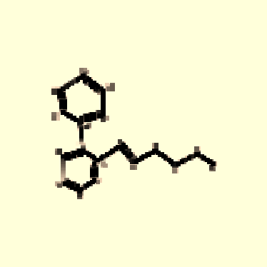 CCCC/C=C/c1ccccc1-c1ccccc1